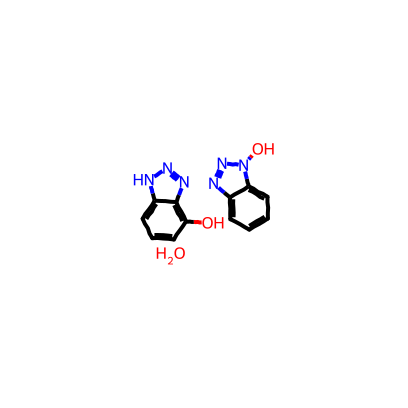 O.Oc1cccc2[nH]nnc12.On1nnc2ccccc21